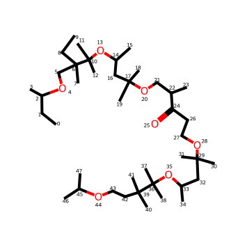 CCC(C)OCC(C)(CC)C(C)(C)OC(C)CC(C)(C)OCC(C)C(=O)CCOC(C)(C)CC(C)OC(C)(C)C(C)(C)CCOC(C)C